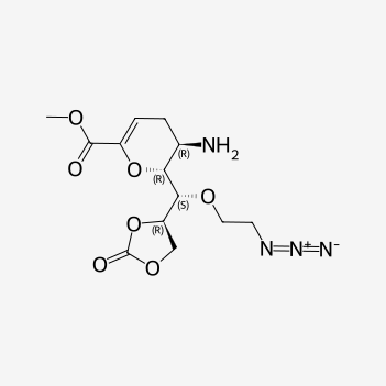 COC(=O)C1=CC[C@@H](N)[C@H]([C@H](OCCN=[N+]=[N-])[C@H]2COC(=O)O2)O1